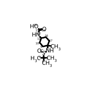 CC1(N[S+]([O-])C(C)(C)C)CCC(NC(=O)O)CC1